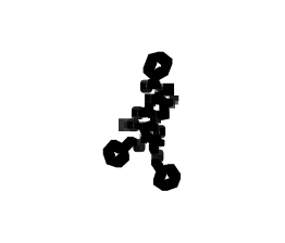 C[C@]1(COCc2ccccc2)O[C@@H](n2cc(F)c(NC(=O)c3ccccc3)nc2=O)[C@H](O)[C@@H]1OCc1ccccc1